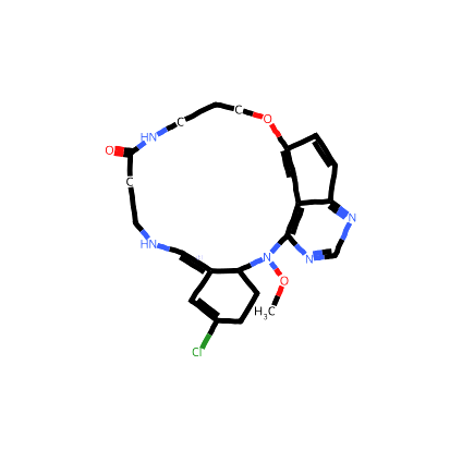 CON1c2ncnc3ccc(cc23)OCCCNC(=O)CCN/C=C2\C=C(Cl)CCC21